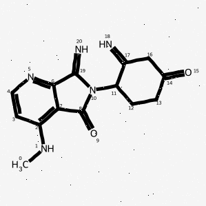 CNc1ccnc2c1C(=O)N(C1CCC(=O)CC1=N)C2=N